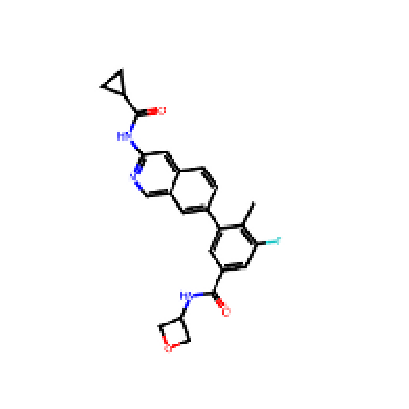 Cc1c(F)cc(C(=O)NC2COC2)cc1-c1ccc2cc(NC(=O)C3CC3)ncc2c1